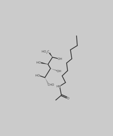 CCCCCCCCNC(C)=O.O=C[C@H](O)[C@@H](O)[C@@H](O)[C@H](O)C(=O)O